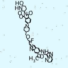 COc1cc2nn(C[C@@H](F)COCC3CCN(c4ccc5c(c4)C(=O)N(C4CCC(O)NC4=O)C5=O)CC3)cc2cc1NC(=O)c1cnn2cccnc12